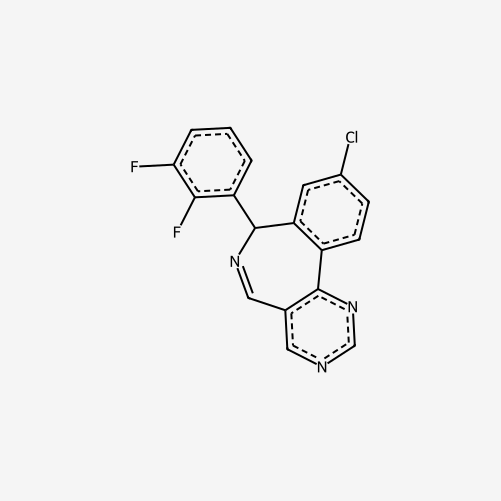 Fc1cccc(C2N=Cc3cncnc3-c3ccc(Cl)cc32)c1F